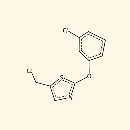 ClCc1cnc(Oc2cccc(Cl)c2)s1